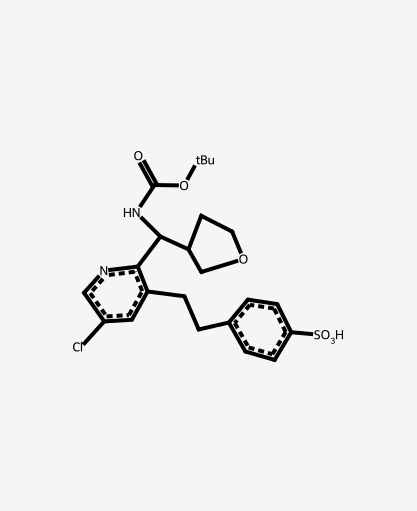 CC(C)(C)OC(=O)NC(c1ncc(Cl)cc1CCc1ccc(S(=O)(=O)O)cc1)C1CCOC1